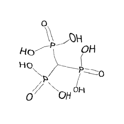 O=P(O)(O)C(P(=O)(O)O)P(=O)(O)O